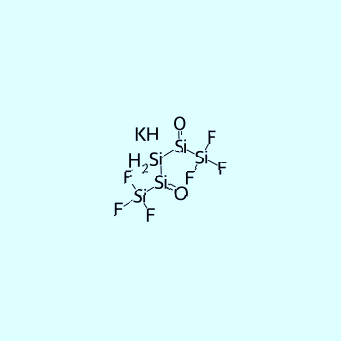 O=[Si]([SiH2][Si](=O)[Si](F)(F)F)[Si](F)(F)F.[KH]